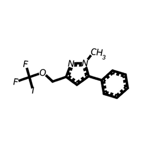 Cn1nc(COC(F)(F)I)cc1-c1ccccc1